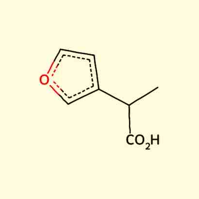 CC(C(=O)O)c1ccoc1